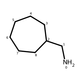 NCC1CCCCCC1